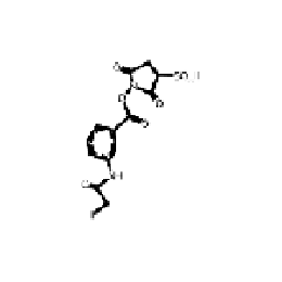 O=C(CI)Nc1cccc(C(=O)ON2C(=O)CC(S(=O)(=O)O)C2=O)c1